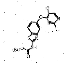 CC(C)(C)OC(=O)Nc1nc2cc(Oc3nc(Cl)ncc3Cl)ccc2s1